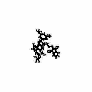 [C-]#[N+]c1cc(F)cc(-c2cc3c4c(ncn4C)c(N(C)C(=O)OC(C)(C)C)nc3n2CCCN2C(=O)c3ccccc3C2=O)c1